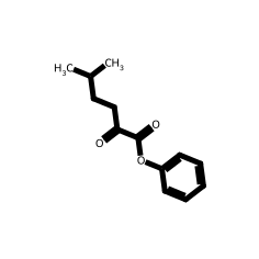 CC(C)CCC(=O)C(=O)Oc1ccccc1